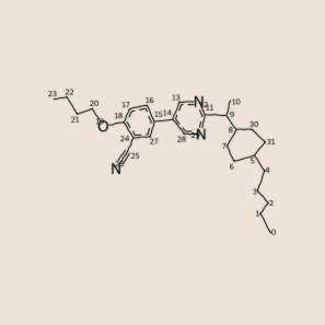 CCCCCC1CCC(C(C)c2ncc(-c3ccc(OCCCC)c(C#N)c3)cn2)CC1